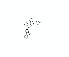 CC1(C)c2ccccc2-c2ccc(-c3cc4cc(-c5ccc(C#N)cc5)c5ccccc5c4c4ccccc34)cc21